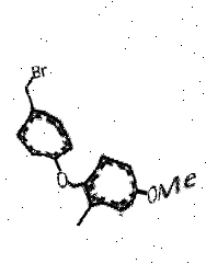 COc1[c]c(C)c(Oc2ccc(CBr)cc2)cc1